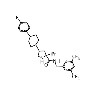 CC(C)C1(C(=O)NCc2cc(C(F)(F)F)cc(C(F)(F)F)c2)CC(C2CCC(c3ccc(F)cc3)CC2)CN1